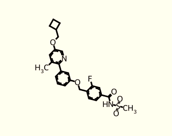 Cc1cc(OCC2CCC2)cnc1-c1cccc(OCc2ccc(C(=O)NS(C)(=O)=O)cc2F)c1